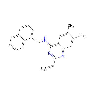 C=Cc1nc(NCc2cccc3ccccc23)c2cc(C)c(C)cc2n1